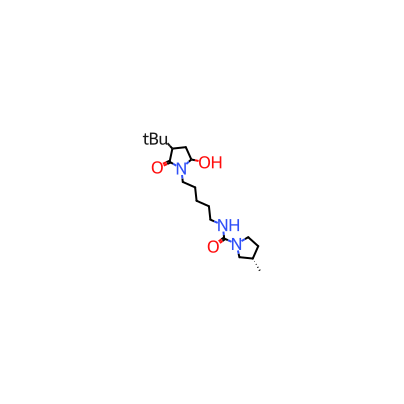 C[C@H]1CCN(C(=O)NCCCCCN2C(=O)C(C(C)(C)C)CC2O)C1